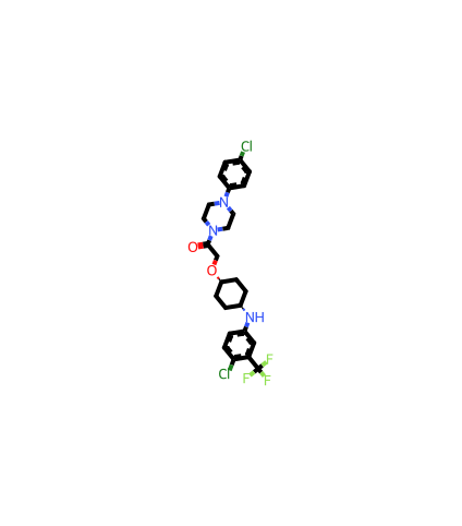 O=C(CO[C@H]1CC[C@@H](Nc2ccc(Cl)c(C(F)(F)F)c2)CC1)N1CCN(c2ccc(Cl)cc2)CC1